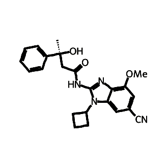 COc1cc(C#N)cc2c1nc(NC(=O)C[C@](C)(O)c1ccccc1)n2C1CCC1